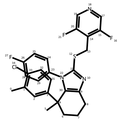 Cc1cc(C2(C)CCCc3nc(SCc4c(F)cncc4F)n(-c4ccc(F)cc4)c32)ccc1Cl